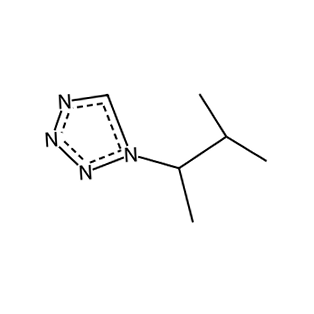 CC(C)C(C)n1cnnn1